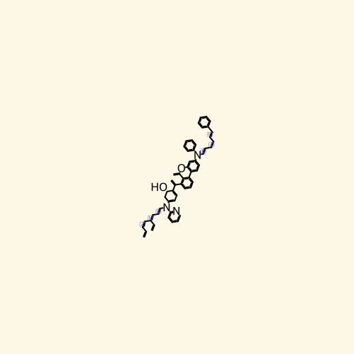 C=C\C=C/C(C=C)=C/C=C/N(C1=CC=C(C(=C)c2cccc3c2C(=C)Oc2cc(N(/C=C/C=C\C=C\c4ccccc4)c4ccccc4)ccc2-3)C(O)C1)c1ccccn1